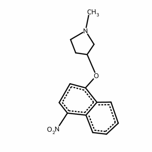 CN1CCC(Oc2ccc([N+](=O)[O-])c3ccccc23)C1